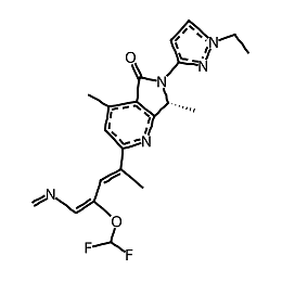 C=N/C=C(\C=C(/C)c1cc(C)c2c(n1)[C@@H](C)N(c1ccn(CC)n1)C2=O)OC(F)F